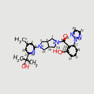 Cc1cc(N2CC3CN(C(=O)c4c(O)cccc4-n4nccn4)CC3C2)nc(C(C)(C)O)c1